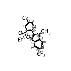 CCS(=O)(=O)c1cc(Cl)cnc1-c1nc2cc(C(F)(F)F)ncc2n1C